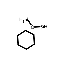 C1CCCCC1.[SiH3]O[SiH3]